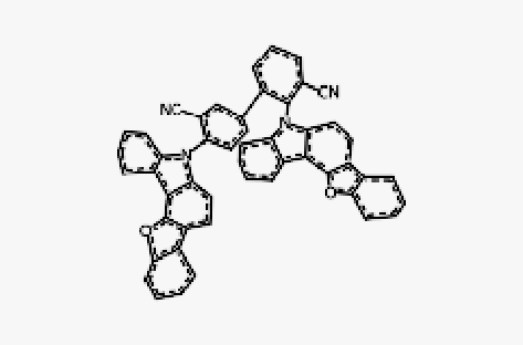 N#Cc1cc(-c2cccc(C#N)c2-n2c3ccccc3c3c4oc5ccccc5c4ccc32)ccc1-n1c2ccccc2c2c3oc4ccccc4c3ccc21